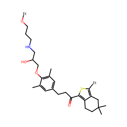 CCOCCCNCC(O)COc1c(C)cc(CCC(=O)c2sc(CC)c3c2CCC(C)(C)C3)cc1C